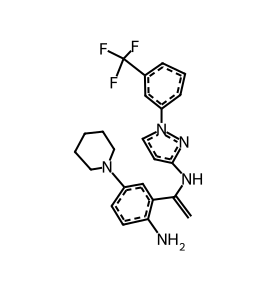 C=C(Nc1ccn(-c2cccc(C(F)(F)F)c2)n1)c1cc(N2CCCCC2)ccc1N